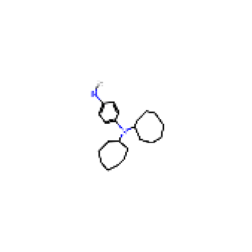 CCNc1ccc(N(C2CCCCCCC2)C2CCCCCCC2)cc1